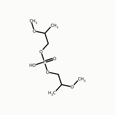 COC(C)COP(=O)(O)OCC(C)OC